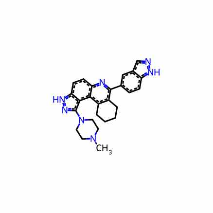 CN1CCN(c2n[nH]c3ccc4nc(-c5ccc6[nH]ncc6c5)c5c(c4c23)CCCC5)CC1